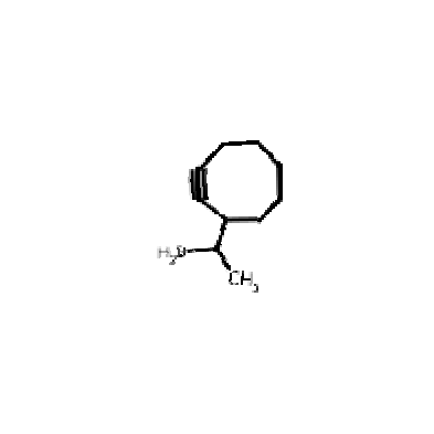 BC(C)C1C#CCCCCC1